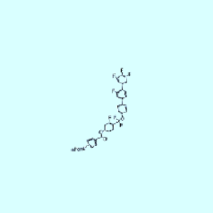 CCCCCc1ccc(C(=O)Oc2ccc(C(F)(F)Oc3ccc(-c4ccc(-c5cc(F)c(F)c(F)c5)c(F)c4)cc3)c(F)c2)cc1